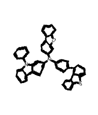 c1ccc(-n2c3ccccc3c3ccc(N(c4ccc(-c5cccc6sc7ccccc7c56)cc4)c4ccc5c(c4)oc4ccccc45)cc32)cc1